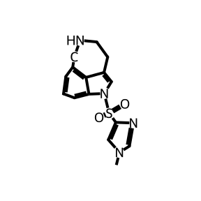 Cn1cnc(S(=O)(=O)n2cc3c4c(cccc42)CNCC3)c1